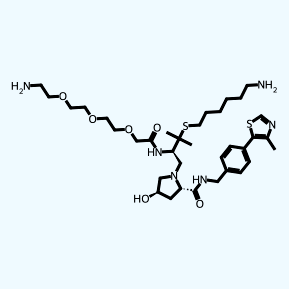 Cc1ncsc1-c1ccc(CNC(=O)[C@@H]2C[C@@H](O)CN2C[C@@H](NC(=O)COCCOCCOCCN)C(C)(C)SCCCCCCN)cc1